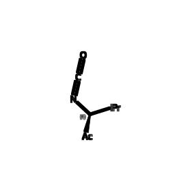 CC(=O)[C@@H](N=C=O)C(C)C